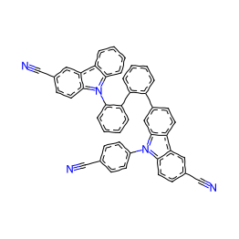 N#Cc1ccc(-n2c3ccc(C#N)cc3c3ccc(-c4ccccc4-c4ccccc4-n4c5ccccc5c5cc(C#N)ccc54)cc32)cc1